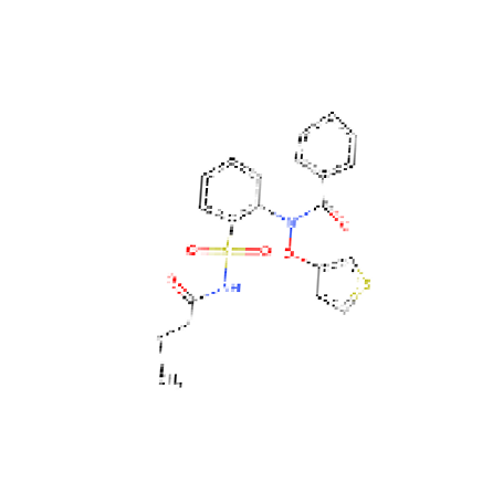 CCCC(=O)NS(=O)(=O)c1ccccc1N(Oc1ccsc1)C(=O)c1ccccc1